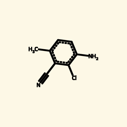 Cc1ccc(N)c(Cl)c1C#N